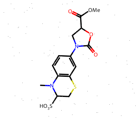 COC(=O)C1CN(c2ccc3c(c2)SCC(S(=O)(=O)O)N3C)C(=O)O1